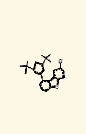 CC(C)(C)c1cc(-c2cccc3sc4ccc(Cl)cc4c23)cc(C(C)(C)C)c1